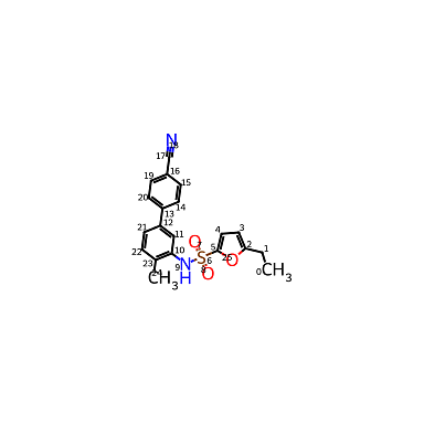 CCc1ccc(S(=O)(=O)Nc2cc(-c3ccc(C#N)cc3)ccc2C)o1